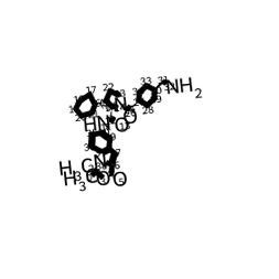 CC1(C)OC(=O)c2cc3cc(NC(=O)[C@@H]4[C@H](C5CCCCC5)CCN4C(=O)[C@H]4CC[C@H](CN)CC4)ccc3n21